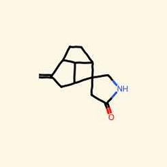 C=C1CC2C3C1CCC3C21CNC(=O)C1